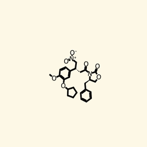 COc1ccc([C@@H](CC(=O)N2C(=O)OC[C@H]2Cc2ccccc2)C[N+](=O)[O-])cc1OC1CCCC1